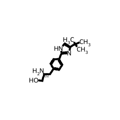 CC(C)(C)c1c[nH]c(-c2ccc(C[C@H](N)CO)cc2)n1